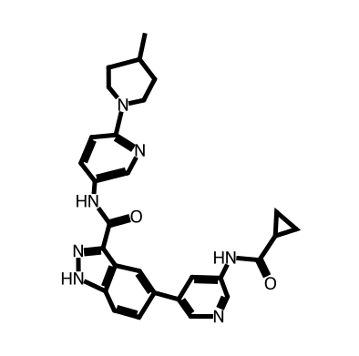 CC1CCN(c2ccc(NC(=O)c3n[nH]c4ccc(-c5cncc(NC(=O)C6CC6)c5)cc34)cn2)CC1